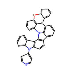 c1ccc2c(c1)Oc1cccc3c1B2c1cccc2c4ccc5c(c6ccccc6n5-c5ccncc5)c4n-3c12